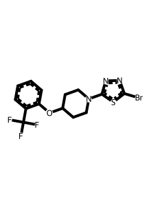 FC(F)(F)c1ccccc1OC1CCN(c2nnc(Br)s2)CC1